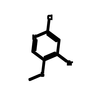 CSc1cnc(Cl)cc1Br